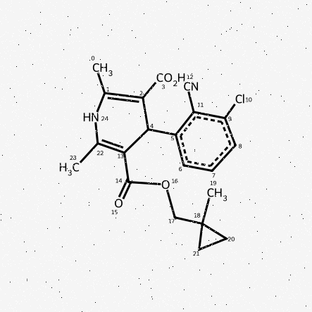 CC1=C(C(=O)O)C(c2cccc(Cl)c2C#N)C(C(=O)OCC2(C)CC2)=C(C)N1